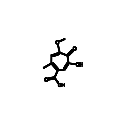 COc1cc(C)c(C(=O)O)cc(O)c1=O